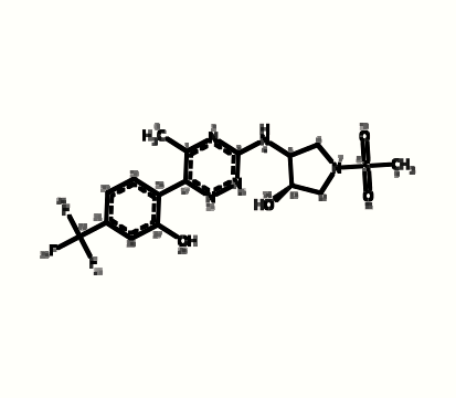 Cc1nc(NC2CN(S(C)(=O)=O)C[C@H]2O)nnc1-c1ccc(C(F)(F)F)cc1O